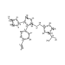 C#Cc1ccc(-c2c(-c3cnn(C)c3)ncn2CCc2cnn(C(C)C)c2)cc1